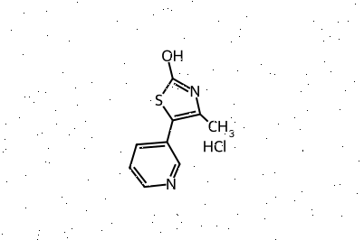 Cc1nc(O)sc1-c1cccnc1.Cl